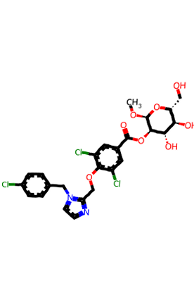 CO[C@H]1O[C@H](CO)[C@@H](O)[C@H](O)[C@H]1OC(=O)c1cc(Cl)c(OCc2nccn2Cc2ccc(Cl)cc2)c(Cl)c1